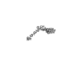 CCCOCCOCCOCCOC(=O)C(C)CNCCC[Si](OC)(OC)OC